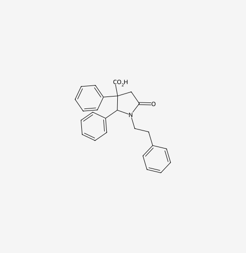 O=C1CC(C(=O)O)(c2ccccc2)C(c2ccccc2)N1CCc1ccccc1